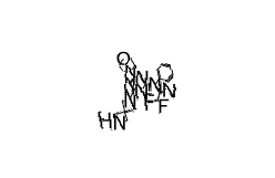 FC(F)c1nc2ccccc2n1-c1nc(N2CCOCC2)nc(N2CC3(CNC3)C2)n1